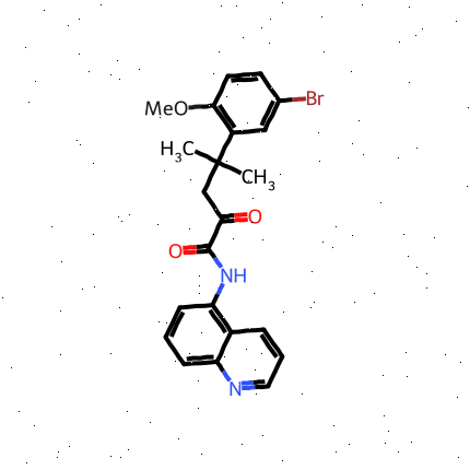 COc1ccc(Br)cc1C(C)(C)CC(=O)C(=O)Nc1cccc2ncccc12